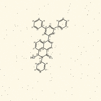 O=C1c2ccc(-c3nc(-c4ccccc4)nc(-c4ccccc4)n3)c3cccc(c23)C(O)N1c1ccccc1